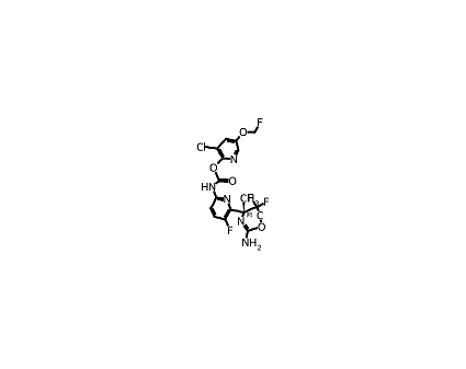 C[C@]1(c2nc(NC(=O)Oc3ncc(OCF)cc3Cl)ccc2F)N=C(N)OCC1(F)F